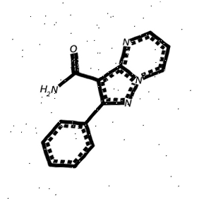 NC(=O)c1c(-c2ccccc2)nn2cccnc12